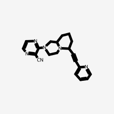 N#Cc1nccnc1N1CCN2C(C#Cc3ccccn3)CCCC2C1